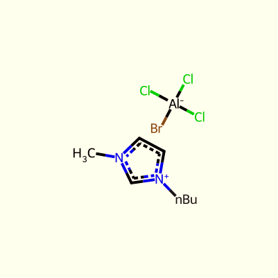 CCCC[n+]1ccn(C)c1.[Cl][Al-]([Cl])([Cl])[Br]